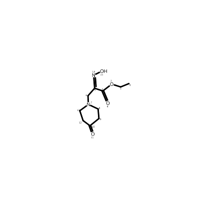 CCOC(=O)/C(CN1CCC(=O)CC1)=N\O